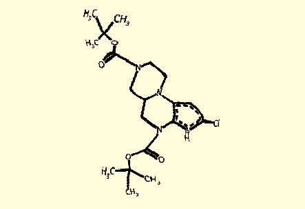 CC(C)(C)OC(=O)N1CCN2c3cc(Cl)[nH]c3N(C(=O)OC(C)(C)C)CC2C1